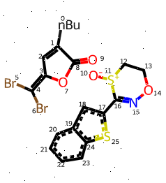 CCCCC1=CC(=C(Br)Br)OC1=O.[O-][S+]1CCON=C1c1cc2ccccc2s1